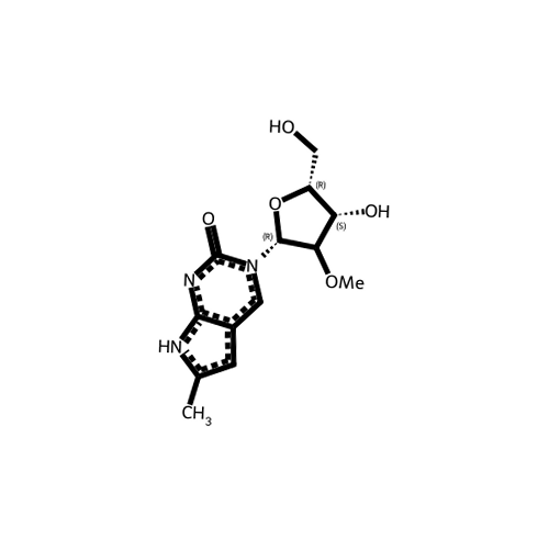 COC1[C@@H](O)[C@@H](CO)O[C@H]1n1cc2cc(C)[nH]c2nc1=O